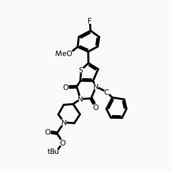 COc1cc(F)ccc1-c1cc2c(s1)c(=O)n(C1CCN(C(=O)OC(C)(C)C)CC1)c(=O)n2Cc1ccccc1